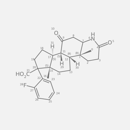 C[C@]12CCC(=O)NC1CC(=O)[C@@H]1[C@H]2CC[C@@]2(C)[C@H]1CCC2(C(=O)O)c1ccccc1F